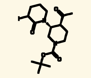 CC(=O)[C@H]1CCN(C(=O)OC(C)(C)C)C[C@@H]1N1CCCC(I)C1=O